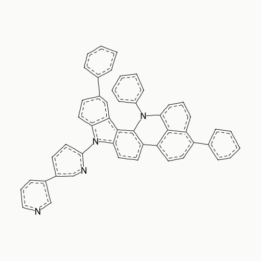 c1ccc(-c2ccc3c(c2)c2c4c(ccc2n3-c2ccc(-c3cccnc3)cn2)-c2ccc(-c3ccccc3)c3cccc(c23)N4c2ccccc2)cc1